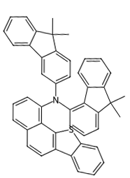 CC1(C)c2ccccc2-c2cc(N(c3cccc4c3-c3ccccc3C4(C)C)c3cccc4ccc5c6ccccc6sc5c34)ccc21